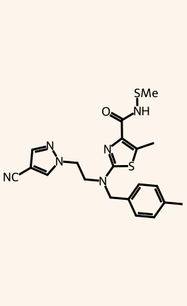 CSNC(=O)c1nc(N(CCn2cc(C#N)cn2)Cc2ccc(C)cc2)sc1C